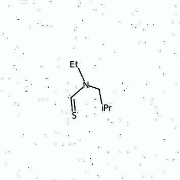 CCN([C]=S)CC(C)C